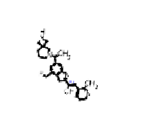 C=C(c1cc(CF)c2c(c1)N=C(/C(C)=C/C1=CCCN=C1C)C2)N1CCCC2(CNC2)C1